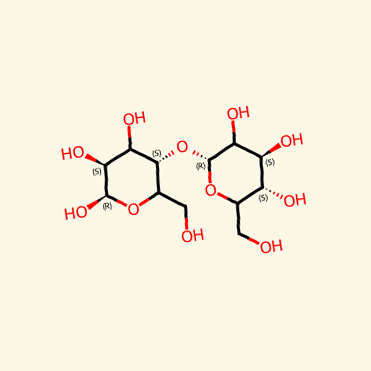 OCC1O[C@@H](O)[C@@H](O)C(O)[C@@H]1O[C@H]1OC(CO)[C@@H](O)[C@H](O)C1O